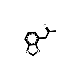 CC(=O)Cc1cccc2c1O[CH]O2